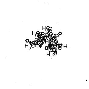 CO[C@H]1C[C@H](OCc2ccccc2)[C@H](O[C@H]2OC(COS(=O)(=O)O)[C@H](O[C@H]3C[C@H](OCc4ccccc4)[C@H](O[C@H]4OC(COS(=O)(=O)O)[C@@H](O[C@H]5C[C@H](OCc6ccccc6)[C@H](O[C@@H]6OC(COS(=O)(=O)O)[C@H](O[C@H]7C[C@H](OCc8ccccc8)[C@H](C)CO7)[C@H](C)C6N=[N+]=[N-])CO5)[C@H](C)C4N=[N+]=[N-])CO3)[C@H](C)C2N=[N+]=[N-])CO1